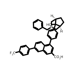 O=C(O)c1cc(-c2ccc(C3(O)[C@@H]4CC[C@H]3CN(Cc3ccccc3)C4)cc2)c2ccc(-c3ccc(C(F)(F)F)cc3)cc2c1